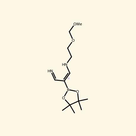 COCOCCN/C=C(\C=N)B1OC(C)(C)C(C)(C)O1